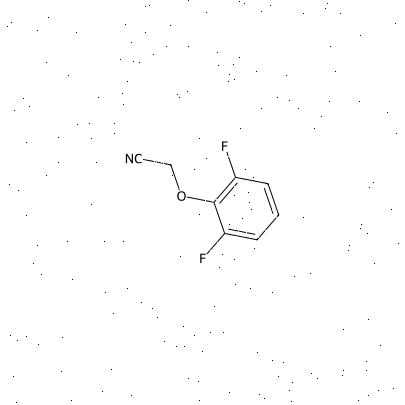 N#CCOc1c(F)cccc1F